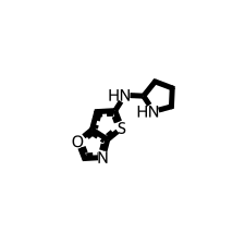 c1nc2sc(NC3CCCN3)cc2o1